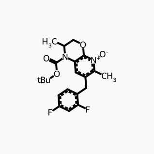 Cc1c(Cc2ccc(F)cc2F)cc2c([n+]1[O-])OCC(C)N2C(=O)OC(C)(C)C